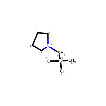 C[Si](C)(C)[SiH2]N1CCCC1